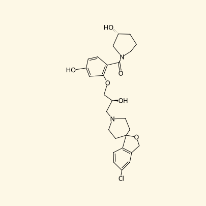 O=C(c1ccc(O)cc1OC[C@@H](O)CN1CCC2(CC1)OCc1cc(Cl)ccc12)N1CCC[C@@H](O)C1